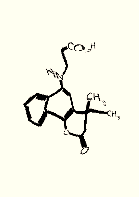 CC1(C)CC(=O)Oc2c1cc(NCCC(=O)O)c1ccccc21